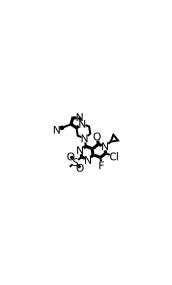 CS(=O)(=O)c1nc(N2CCn3ncc(C#N)c3C2)c2c(=O)n(C3CC3)c(Cl)c(F)c2n1